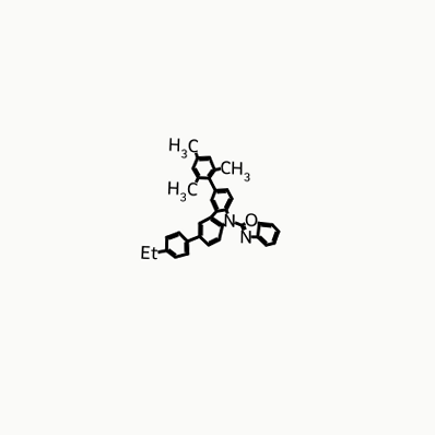 CCc1ccc(-c2ccc3c(c2)c2cc(-c4c(C)cc(C)cc4C)ccc2n3-c2nc3ccccc3o2)cc1